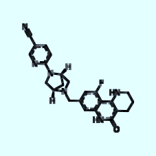 N#Cc1ccc(N2C[C@@H]3C[C@H]2CN3Cc2cc(F)c3c4c(c(=O)[nH]c3c2)CCCN4)nc1